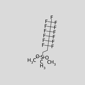 CO[Si](C)(CCC(F)(F)C(F)(F)C(F)(F)C(F)(F)C(F)(F)C(F)(F)F)OC